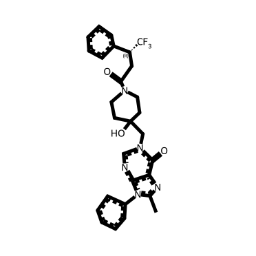 Cc1nc2c(=O)n(CC3(O)CCN(C(=O)C[C@H](c4ccccc4)C(F)(F)F)CC3)cnc2n1-c1ccccc1